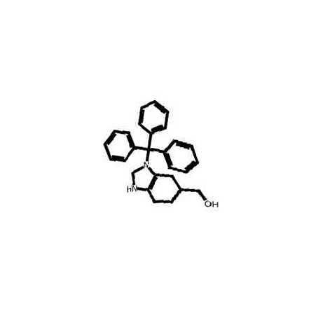 OCC1CCC2=C(C1)N(C(c1ccccc1)(c1ccccc1)c1ccccc1)CN2